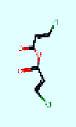 O=C(C=CCl)OC(=O)C=CCl